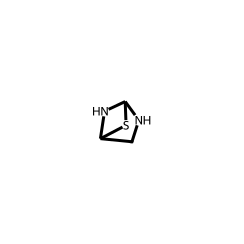 C1NC2NC1S2